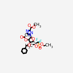 CCOP(=O)(OCC)C(F)(F)C[C@H]1O[C@@H](n2cnc(C(=O)OC)n2)[C@H](OC(C)=O)[C@@H]1OCc1ccccc1